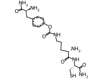 NC(=O)[C@H](CS)NC(=O)[C@@H](N)CCCNC(=O)Oc1ccc(C[C@H](N)C(N)=O)cc1